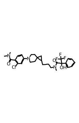 CN(C)C(=O)c1ccc(N2CCC3(CC2)CC3CCCN(C)C(=O)C(O)(c2ccccc2)C(F)(F)F)cc1Cl